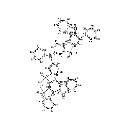 CC1(C)c2cc(N(c3cccnc3)c3ccc4c(c3)C(C)(C)c3c5c(c6oc7ccccc7c6c3-4)-c3ccccc3C5(C)C)ccc2-c2c1cc(-c1ccccc1)c1oc3ccccc3c21